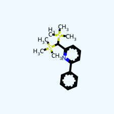 CS(C)(C)C(c1cccc(-c2ccccc2)n1)S(C)(C)C